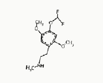 CNCCc1cc(OC)c(OC(F)F)cc1OC